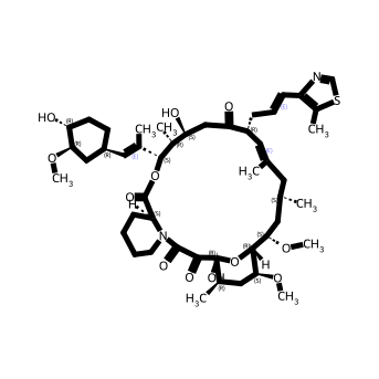 CO[C@H]1C[C@@H](C)C/C(C)=C/[C@@H](C/C=C/c2ncsc2C)C(=O)C[C@H](O)[C@@H](C)[C@@H](/C(C)=C/[C@@H]2CC[C@@H](O)[C@H](OC)C2)OC(=O)[C@@H]2CCCCN2C(=O)C(=O)[C@]2(O)O[C@H]1[C@@H](OC)C[C@H]2C